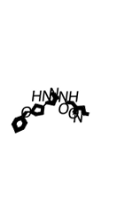 Cc1cc(CC(=O)Nc2cc([C@H]3CC[C@@H](Oc4ccccc4)C3)[nH]n2)on1